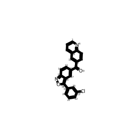 O=C(c1ccc2ncccc2c1)c1ccc2noc(-c3cccc(Cl)c3)c2c1